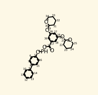 O=C(OPOc1ccc(-c2ccccc2)cc1)c1cc(OC2CCCCO2)cc(OC2CCCCO2)c1